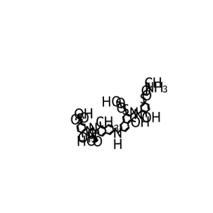 CNOOSc1ccc(O)c(N=Nc2c(SOOO)cc3cc(Nc4ccc5c(C)c(N=Nc6cc(S(=O)(=O)O)ccc6O)c(S(=O)(=O)O)cc5c4)ccc3c2O)c1